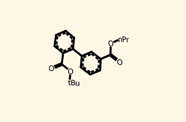 CCCOC(=O)c1cc[c]c(-c2ccccc2C(=O)OC(C)(C)C)c1